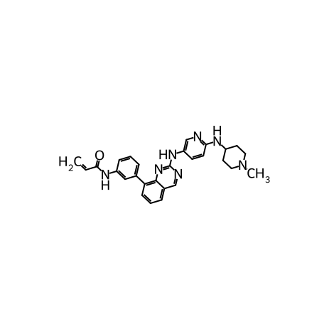 C=CC(=O)Nc1cccc(-c2cccc3cnc(Nc4ccc(NC5CCN(C)CC5)nc4)nc23)c1